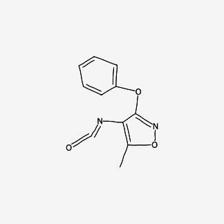 Cc1onc(Oc2ccccc2)c1N=C=O